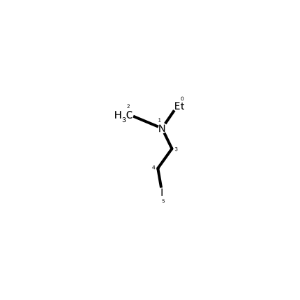 CCN(C)CCI